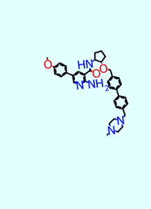 COc1ccc(-c2cnc(N)c(C(=O)N[C@H]3CCC[C@@H]3OCc3ccc(-c4ccc(CN5CCN(C)CC5)cc4)cc3)c2)cc1